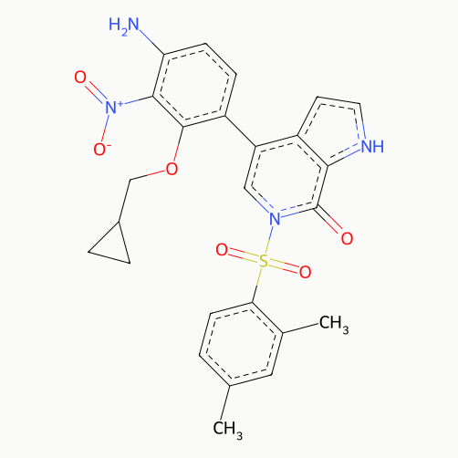 Cc1ccc(S(=O)(=O)n2cc(-c3ccc(N)c([N+](=O)[O-])c3OCC3CC3)c3cc[nH]c3c2=O)c(C)c1